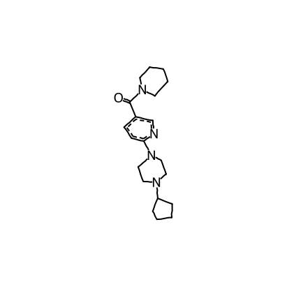 O=C(c1ccc(N2CCN(C3CCCC3)CC2)nc1)N1CCCCC1